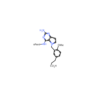 CCCCCNc1nc(N)nc2ccn(Cc3cc(CCC(=O)O)ccc3OC)c12